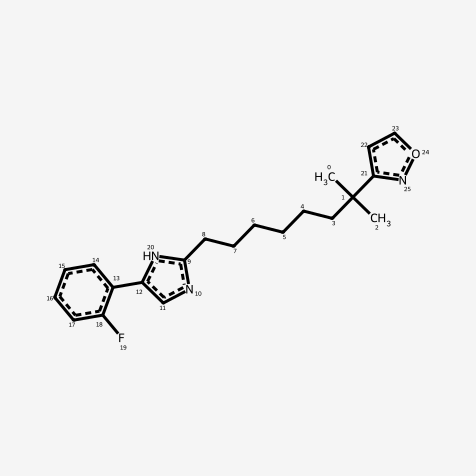 CC(C)(CCCCCCc1ncc(-c2ccccc2F)[nH]1)c1ccon1